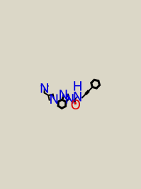 CN(C)CC1CN(c2cccc3c2ncn3C(=O)NCC#Cc2ccccc2)C1